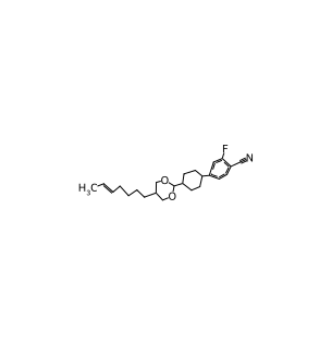 CC=CCCCCC1COC(C2CCC(c3ccc(C#N)c(F)c3)CC2)OC1